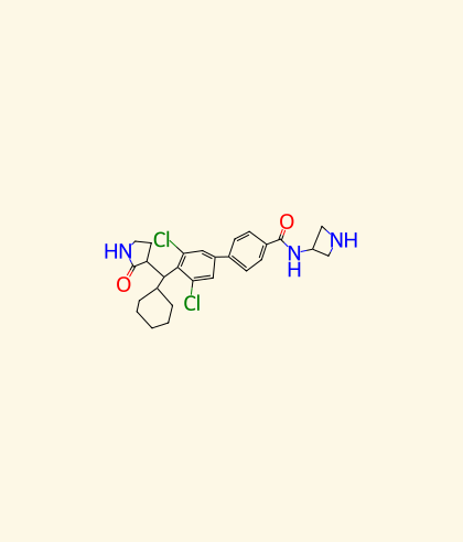 O=C(NC1CNC1)c1ccc(-c2cc(Cl)c(C(C3CCCCC3)C3CCNC3=O)c(Cl)c2)cc1